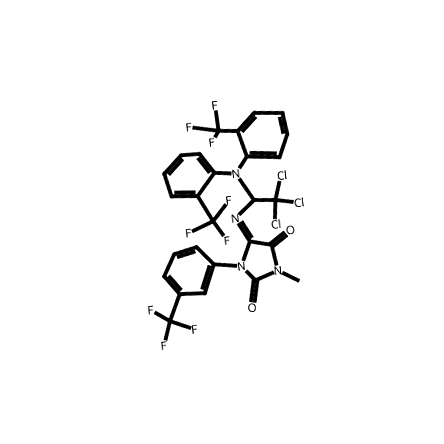 CN1C(=O)C(=NC(N(c2ccccc2C(F)(F)F)c2ccccc2C(F)(F)F)C(Cl)(Cl)Cl)N(c2cccc(C(F)(F)F)c2)C1=O